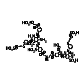 CCN(CCS(=O)(=O)c1ccc(N=Nc2cc(S(=O)(=O)O)c(N)c(N=Nc3cccc(SC#COOS(=O)(=O)O)c3)c2N)c(SOOO)c1)CCS(=O)(=O)c1ccc(N=Nc2c(N)c(N=Nc3cccc(S(=O)(=O)CCOS(=O)(=O)O)c3)c(N)c(N=Nc3cccc(SC#COOS(=O)(=O)O)c3)c2C(=O)O)c(S(=O)(=O)O)c1